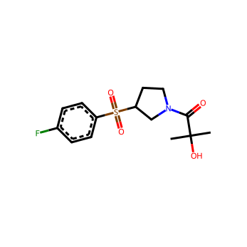 CC(C)(O)C(=O)N1CCC(S(=O)(=O)c2ccc(F)cc2)C1